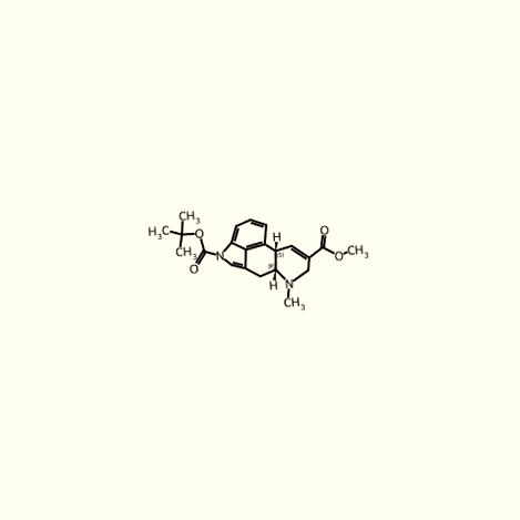 COC(=O)C1=C[C@H]2c3cccc4c3c(cn4C(=O)OC(C)(C)C)C[C@H]2N(C)C1